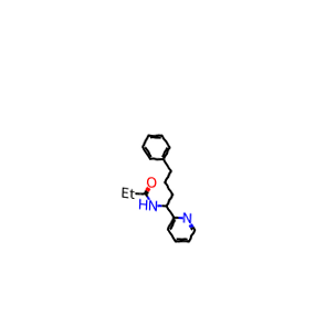 CCC(=O)NC(CCCc1ccccc1)c1ccccn1